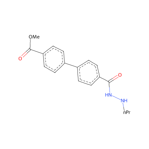 CCCNNC(=O)c1ccc(-c2ccc(C(=O)OC)cc2)cc1